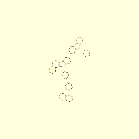 c1ccc(-n2c3ccccc3c3ccc(-c4ccc5c(c4)c4ccc6ccccc6c4n5-c4ccc(-c5ccc6c(c5)-c5cccc7cccc-6c57)cc4)cc32)cc1